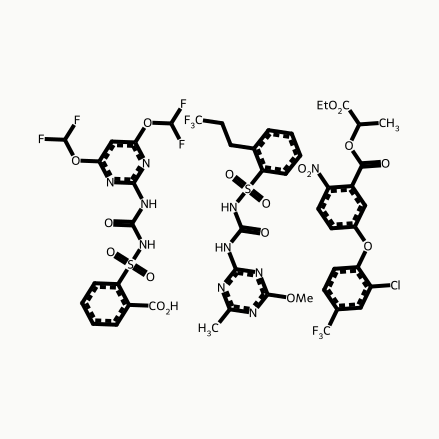 CCOC(=O)C(C)OC(=O)c1cc(Oc2ccc(C(F)(F)F)cc2Cl)ccc1[N+](=O)[O-].COc1nc(C)nc(NC(=O)NS(=O)(=O)c2ccccc2CCC(F)(F)F)n1.O=C(Nc1nc(OC(F)F)cc(OC(F)F)n1)NS(=O)(=O)c1ccccc1C(=O)O